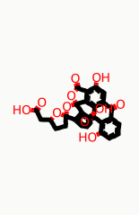 O=C(O)CC1CCC2(O1)OC1(OC(=O)c3c(O)cc4c(c31)C(=O)c1c(O)cccc1C4=O)c1c(O)cccc12